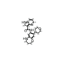 O=C(Nc1cc2c(cc1N1CCOCC1)OCCCN2)C1=C2N=CC=CN2NC1